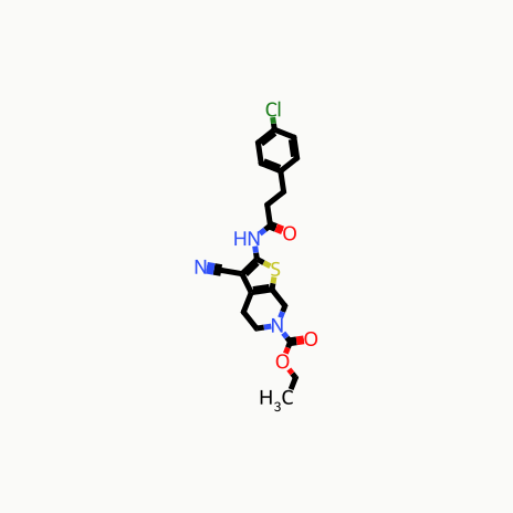 CCOC(=O)N1CCc2c(sc(NC(=O)CCc3ccc(Cl)cc3)c2C#N)C1